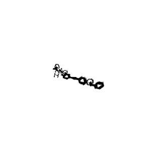 CC(=O)N[C@@H](C)[C@H]1Cc2ccc(C#Cc3ccc(OCc4ccccc4)cc3)cc2O1